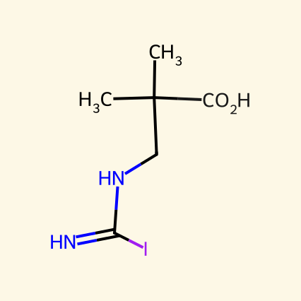 CC(C)(CNC(=N)I)C(=O)O